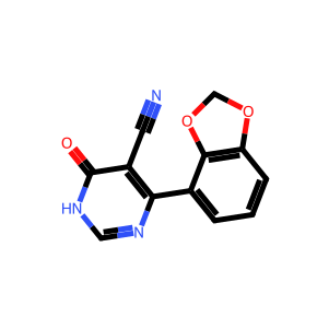 N#Cc1c(-c2cccc3c2OCO3)nc[nH]c1=O